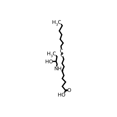 CCC(O)CN.CCCCCCCCCCCCCCCCCC(=O)O